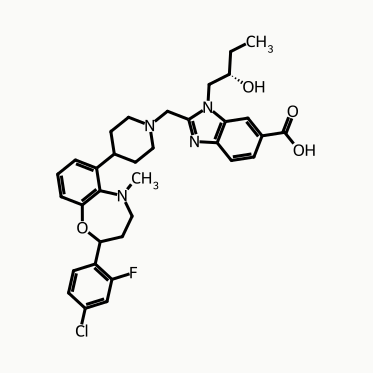 CC[C@H](O)Cn1c(CN2CCC(c3cccc4c3N(C)CCC(c3ccc(Cl)cc3F)O4)CC2)nc2ccc(C(=O)O)cc21